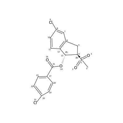 CS(=O)(=O)[C@@H]1Cc2cc(Cl)ccc2[C@H]1OC(=O)c1ccc(Cl)cc1